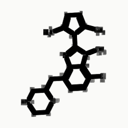 Cc1ccc(C)n1-c1nc2c(CC3CNCCO3)ccc(Cl)c2n1C